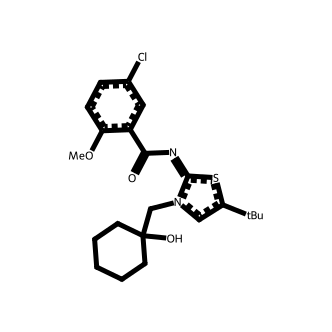 COc1ccc(Cl)cc1C(=O)N=c1sc(C(C)(C)C)cn1CC1(O)CCCCC1